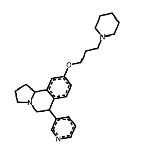 c1cncc(C2CN3CCCC3c3cc(OCCCN4CCCCC4)ccc32)c1